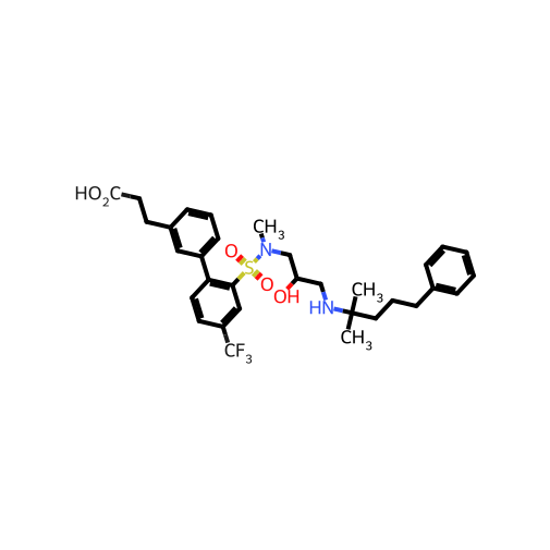 CN(CC(O)CNC(C)(C)CCCc1ccccc1)S(=O)(=O)c1cc(C(F)(F)F)ccc1-c1cccc(CCC(=O)O)c1